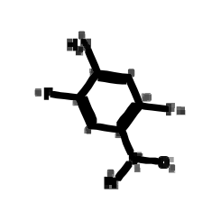 CC[S+]([O-])c1cc(F)c(N)cc1F